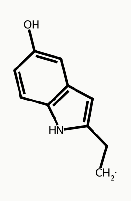 [CH2]Cc1cc2cc(O)ccc2[nH]1